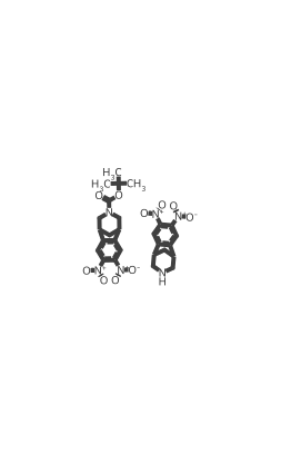 CC(C)(C)OC(=O)N1CC2CC(C1)c1cc([N+](=O)[O-])c([N+](=O)[O-])cc12.O=[N+]([O-])c1cc2c(cc1[N+](=O)[O-])C1CNCC2C1